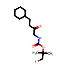 CC(C)(CBr)OC(=O)NCC(=O)CCC1CCCCC1